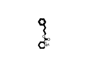 O=C(OCCCc1ccccc1)[C@@H]1CCCCN1